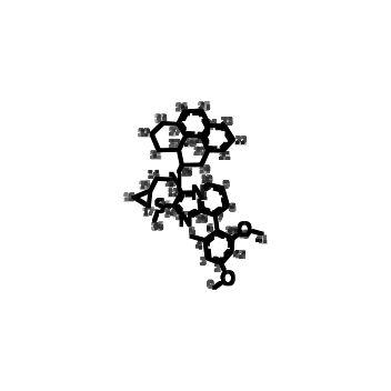 COc1cc(C)c(-c2cccn3c(N(CC4CC4)C4Cc5cccc6ccc7c(c56)C4CCC7)c(SC)nc23)c(OC)c1